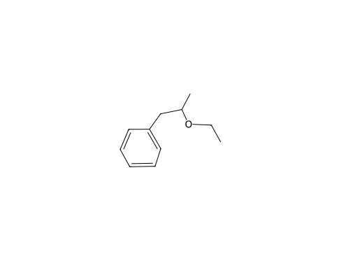 CCOC(C)Cc1ccccc1